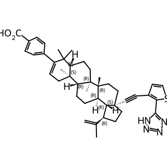 C=C(C)[C@@H]1CC[C@]2(C#Cc3ccsc3-c3nnn[nH]3)CC[C@]3(C)[C@H](CC[C@@H]4[C@@]5(C)CC=C(c6ccc(C(=O)O)cc6)C(C)(C)[C@@H]5CC[C@]43C)[C@@H]12